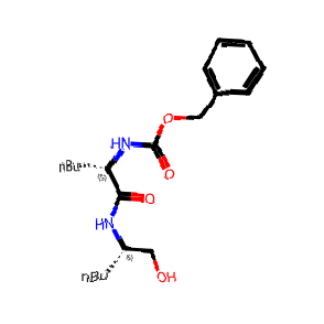 CCCC[C@@H](CO)NC(=O)[C@H](CCCC)NC(=O)OCc1ccccc1